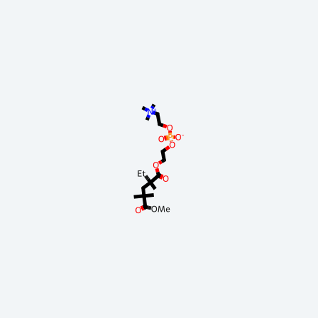 CCC(C)(CC(C)(C)C(=O)OC)C(=O)OCCOP(=O)([O-])OCC[N+](C)(C)C